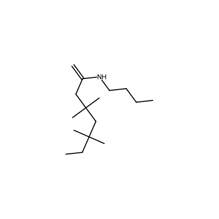 C=C(CC(C)(C)CC(C)(C)CC)NCCCC